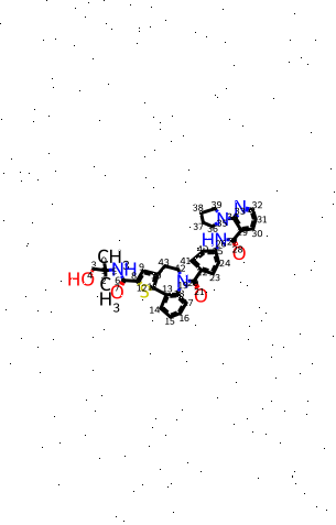 CC(C)(CO)NC(=O)c1cc2c(s1)-c1ccccc1N(C(=O)c1ccc(NC(=O)c3cccnc3N3CCCC3)cc1)CC2